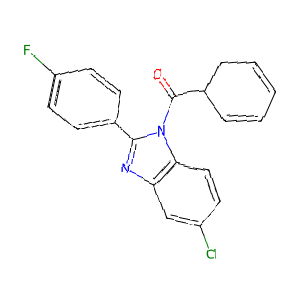 O=C(C1C=CC=CC1)n1c(-c2ccc(F)cc2)nc2cc(Cl)ccc21